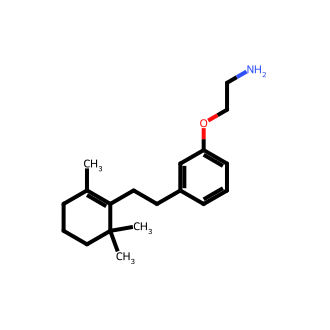 CC1=C(CCc2cccc(OCCN)c2)C(C)(C)CCC1